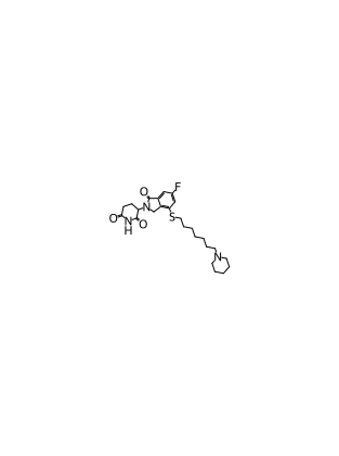 O=C1CCC(N2Cc3c(SCCCCCCCN4CCCCC4)cc(F)cc3C2=O)C(=O)N1